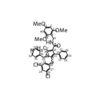 COc1cc(OC)c(CNC(=O)c2c(-c3ccccc3)c(Sc3cc(Cl)cc(Cl)c3)n(Cc3ccncc3)c2C)c(OC)c1